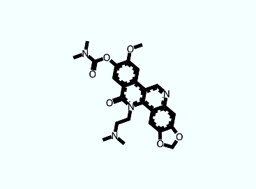 COc1cc2c(cc1OC(=O)N(C)C)c(=O)n(CCN(C)C)c1c3cc4c(cc3ncc21)OCO4